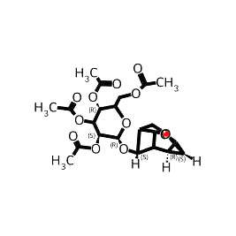 CC(=O)OCC1O[C@@H](O[C@@H]2C3CO[C@@H]4C5OC3C2[C@@H]54)[C@@H](OC(C)=O)C(OC(C)=O)[C@@H]1OC(C)=O